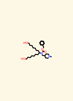 CN1CCC(CN(C(=O)OCc2ccccc2)C(CCCCCCCO)CCCCCCCO)CC1